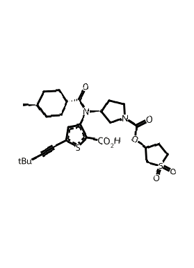 CC(C)(C)C#Cc1cc(N(C(=O)[C@H]2CC[C@H](C)CC2)[C@H]2CCN(C(=O)OC3CCS(=O)(=O)C3)C2)c(C(=O)O)s1